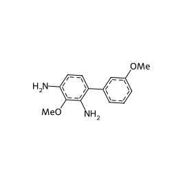 COc1cccc(-c2ccc(N)c(OC)c2N)c1